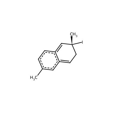 Cc1ccc2c(c1)=CC[C@@](C)(I)C=2